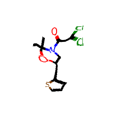 CC1(C)OC(c2cccs2)CN1C(=O)C(Cl)Cl